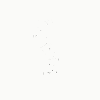 Cc1ccc(C(C)CCNC2Cc3ccc(Oc4ccc(C(N)=O)cn4)cc3C2)o1